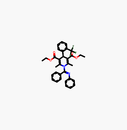 CCOC(=O)C1=C(C)N(C(=Nc2ccccc2)c2ccccc2)C(C)=C(C(=O)OCC)C1c1ccccc1C(F)(F)F